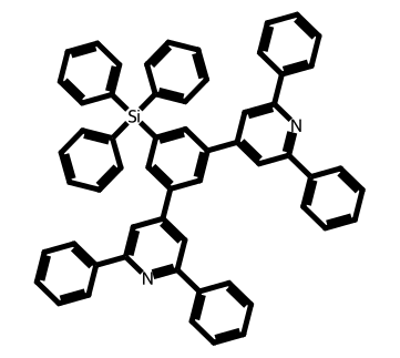 c1ccc(-c2cc(-c3cc(-c4cc(-c5ccccc5)nc(-c5ccccc5)c4)cc([Si](c4ccccc4)(c4ccccc4)c4ccccc4)c3)cc(-c3ccccc3)n2)cc1